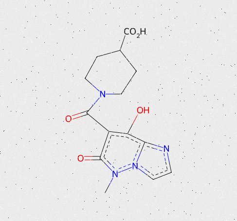 Cn1c(=O)c(C(=O)N2CCC(C(=O)O)CC2)c(O)c2nccn21